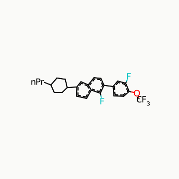 CCCC1CCC(c2ccc3c(F)c(-c4ccc(OC(F)(F)F)c(F)c4)ccc3c2)CC1